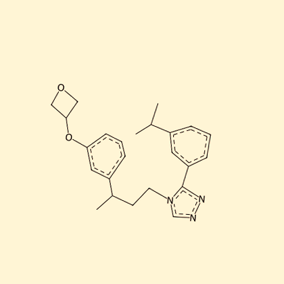 CC(C)c1cccc(-c2nncn2CCC(C)c2cccc(OC3COC3)c2)c1